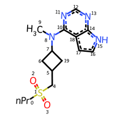 CCCS(=O)(=O)CC1CC(N(C)c2ncnc3[nH]ccc23)C1